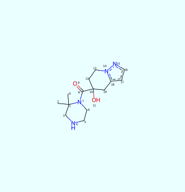 CC1(C)CNCCN1C(=O)C1(O)CCn2nccc2C1